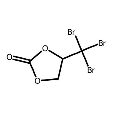 O=C1OCC(C(Br)(Br)Br)O1